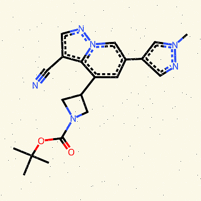 Cn1cc(-c2cc(C3CN(C(=O)OC(C)(C)C)C3)c3c(C#N)cnn3c2)cn1